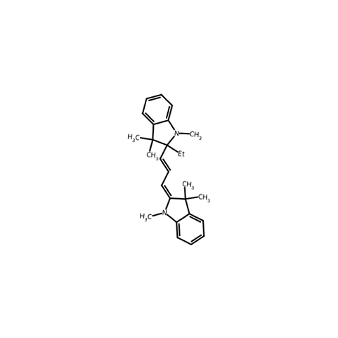 CCC1(/C=C/C=C2/N(C)c3ccccc3C2(C)C)N(C)c2ccccc2C1(C)C